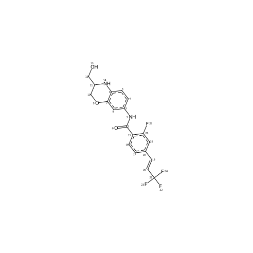 O=C(Nc1ccc2c(c1)OCC(CO)N2)c1ccc(C=CC(F)(F)F)cc1F